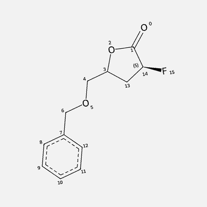 O=C1OC(COCc2ccccc2)C[C@@H]1F